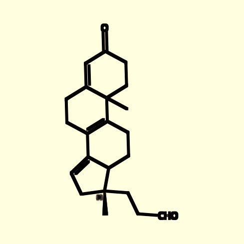 CC12CCC(=O)C=C1CCC1=C2CCC2C1=CC[C@@]2(C)CCC=O